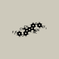 [C-]#[N+]/C(C#N)=C1\c2cc(Oc3ccc(C(F)(F)F)cc3)ccc2-c2cc3c(cc21)-c1ccc(Oc2ccc(C(F)(F)F)cc2)cc1/C3=C(\C#N)[N+]#[C-]